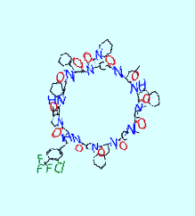 CC(C)C[C@H]1C(=O)N[C@@H](CC2CCCCC2)C(=O)N(C)CC(=O)N(C)CC(=O)N(C)[C@@H](CC2CCCCC2)C(=O)N(C)CC(=O)N[C@@H](CCc2ccc(C(F)(F)F)c(Cl)c2)C(=O)N2CCC[C@H]2C(=O)NC2(CCCC2)C(=O)N(C)[C@@H](C2CCCCC2)C(=O)N(C)[C@H](C(=O)N2CCCCC2)CC(=O)N1C